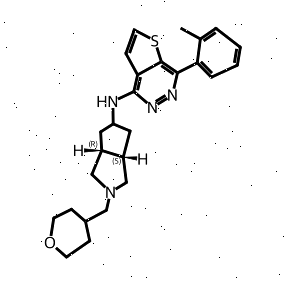 Cc1ccccc1-c1nnc(NC2C[C@@H]3CN(CC4CCOCC4)C[C@@H]3C2)c2ccsc12